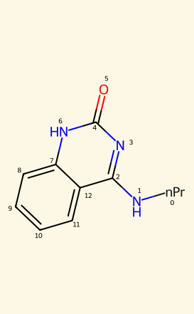 CCCNc1nc(=O)[nH]c2ccccc12